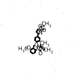 CCS(=O)(=O)n1ccc(-c2ccc(OCc3c(OC)cccc3-n3nnn(C)c3=O)c(C)c2)n1